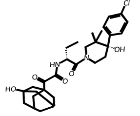 CC[C@@H](NC(=O)C(=O)C12CC3CC(CC(O)(C3)C1)C2)C(=O)N1CC[C@](O)(c2ccc(Cl)cc2)C(C)(C)C1